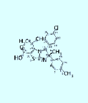 Cc1ccc([C@]2(C)N=C3SC(C(=O)O)=C(C(C)C)N3[C@@H]2c2ccc(Cl)cc2)cc1